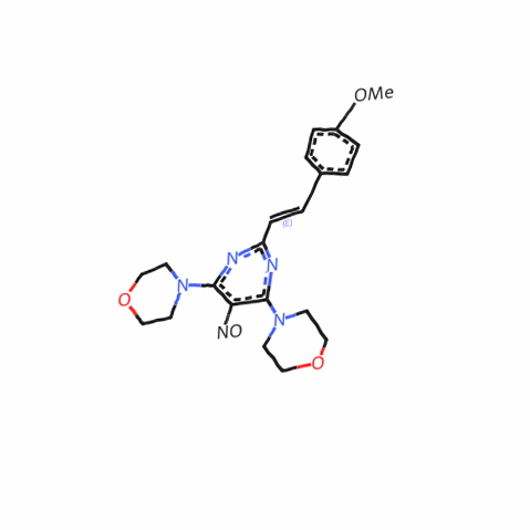 COc1ccc(/C=C/c2nc(N3CCOCC3)c(N=O)c(N3CCOCC3)n2)cc1